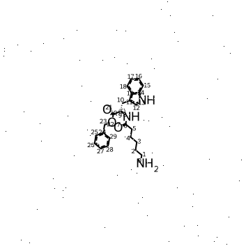 NCCCCCC(=O)N[C@@H](Cc1c[nH]c2ccccc12)C(=O)OCc1ccccc1